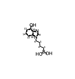 OB(O)CCCCn1cnc2c(O)cccc21